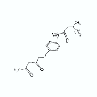 CC(=O)CC(=O)CCc1ccc(NC(=O)CC(C)C)cc1